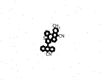 CC1C=Cc2c(c(-c3cccc4sc5cc(-c6c7ccccc7c(C#N)c7ccccc67)ccc5c34)c3ccccc3c2C#N)C1